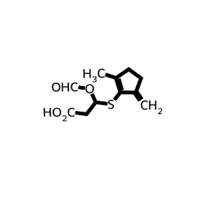 C=C1CCC(C)=C1SC(CC(=O)O)OC=O